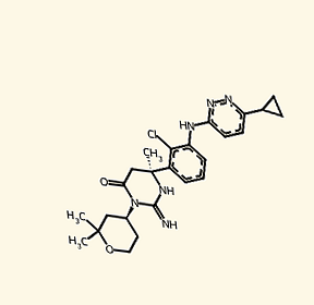 CC1(C)C[C@@H](N2C(=N)N[C@](C)(c3cccc(Nc4ccc(C5CC5)nn4)c3Cl)CC2=O)CCO1